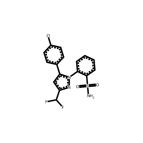 NS(=O)(=O)c1ccccc1-n1nc(C(F)F)cc1-c1ccc(Cl)cc1